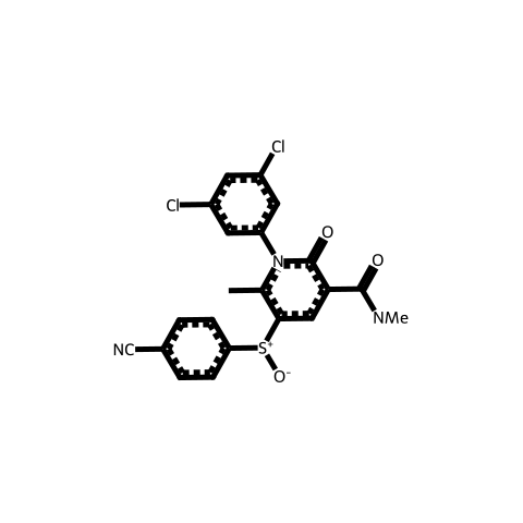 CNC(=O)c1cc([S+]([O-])c2ccc(C#N)cc2)c(C)n(-c2cc(Cl)cc(Cl)c2)c1=O